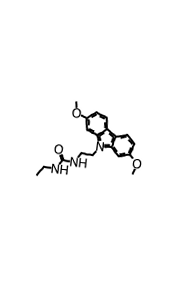 CCNC(=O)NCCn1c2cc(OC)ccc2c2ccc(OC)cc21